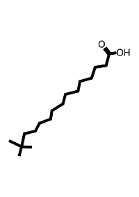 CC(C)(C)CCCCCCCCCCCCC(=O)O